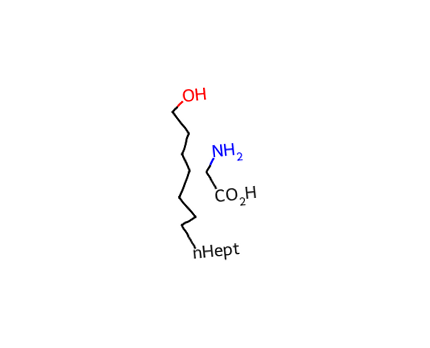 CCCCCCCCCCCCCCO.NCC(=O)O